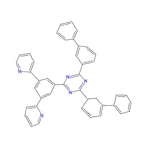 C1=CC(c2nc(-c3cccc(-c4ccccc4)c3)nc(-c3cc(-c4ccccn4)cc(-c4ccccn4)c3)n2)CC(c2ccccc2)=C1